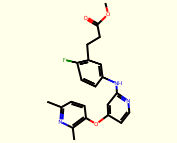 COC(=O)CCc1cc(Nc2cc(Oc3ccc(C)nc3C)ccn2)ccc1F